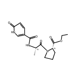 CCOC(=O)[C@@H]1CCCN1C(=O)[C@H](C)NC(=O)c1ccc(=O)[nH]c1